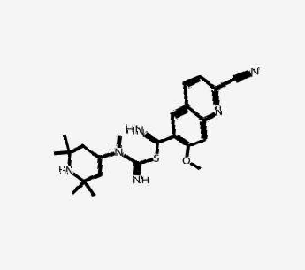 COc1cc2nc(C#N)ccc2cc1C(=N)SC(=N)N(C)C1CC(C)(C)NC(C)(C)C1